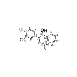 CNCC(c1ccc(F)c(Cl)c1)C(O)c1ccccc1